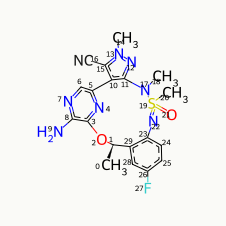 C[C@H]1Oc2nc(cnc2N)-c2c(nn(C)c2C#N)N(C)S(C)(=O)=Nc2ccc(F)cc21